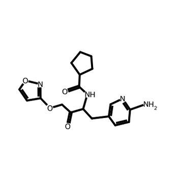 Nc1ccc(CC(NC(=O)C2CCCC2)C(=O)COc2ccon2)cn1